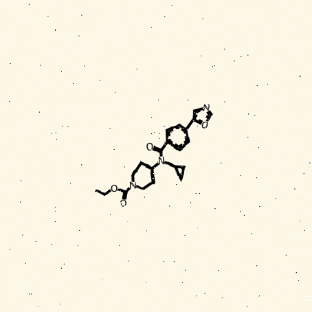 CCOC(=O)N1CCC(N(C(=O)c2ccc(-c3cnco3)cc2)C2CC2)CC1